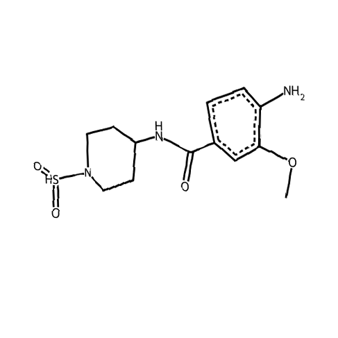 COc1cc(C(=O)NC2CCN([SH](=O)=O)CC2)ccc1N